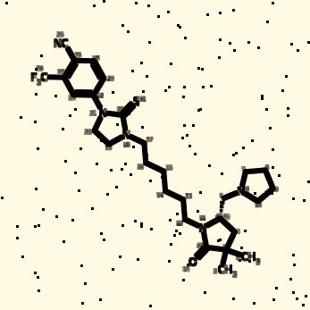 CC1(C)C[C@@H](CN2CCCC2)N(CCCCCCN2CCN(c3ccc(C#N)c(C(F)(F)F)c3)C2=S)C1=O